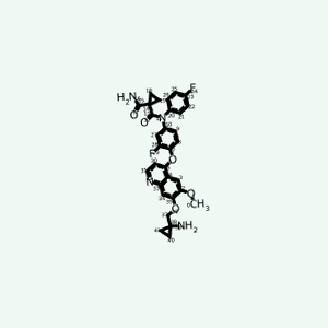 COc1cc2c(Oc3ccc(N(C(=O)C4(C(N)=O)CC4)c4ccc(F)cc4)cc3F)ccnc2cc1OCC1(N)CC1